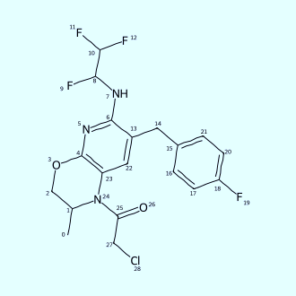 CC1COc2nc(NC(F)C(F)F)c(Cc3ccc(F)cc3)cc2N1C(=O)CCl